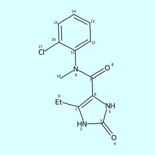 CCc1[nH]c(=O)[nH]c1C(=O)N(C)c1ccccc1Cl